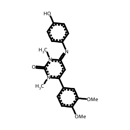 COc1ccc(-c2c/c(=N/c3ccc(O)cc3)n(C)c(=O)n2C)cc1OC